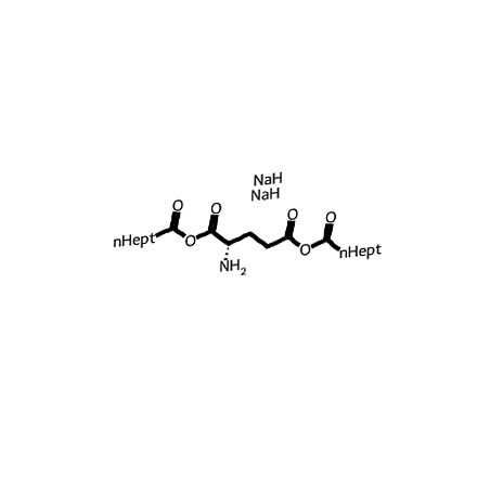 CCCCCCCC(=O)OC(=O)CC[C@H](N)C(=O)OC(=O)CCCCCCC.[NaH].[NaH]